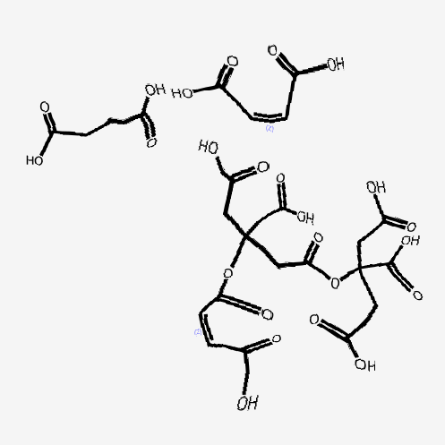 O=C(O)/C=C\C(=O)O.O=C(O)/C=C\C(=O)OC(CC(=O)O)(CC(=O)OC(CC(=O)O)(CC(=O)O)C(=O)O)C(=O)O.O=C(O)CCC(=O)O